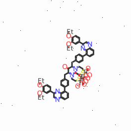 CCOc1ccc(-c2cnc3cccc(-c4ccc(CC(C(=O)C(Cc5ccc(-c6cccc7ncc(-c8ccc(OCC)c(OCC)c8)nc67)cc5)N5CC[S]([Ti](=[O])=[O])([Ti](=[O])=[O])CC5)N5CC[S]([Ti](=[O])=[O])([Ti](=[O])=[O])CC5)cc4)c3n2)cc1OCC